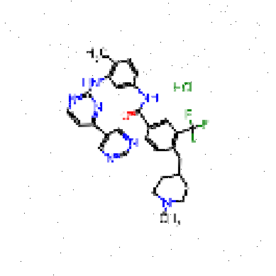 Cc1ccc(NC(=O)c2ccc(CC3CCN(C)CC3)c(C(F)(F)F)c2)cc1Nc1nccc(-c2cncnc2)n1.Cl